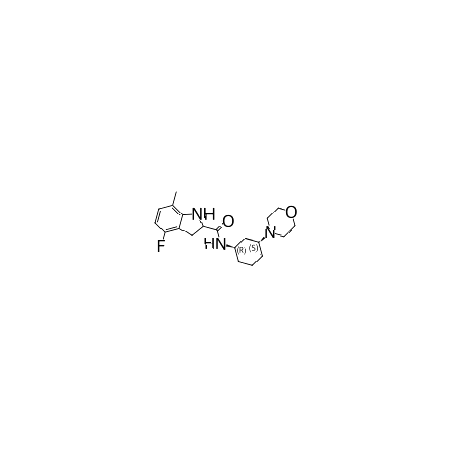 Cc1ccc(F)c2c1NC(C(=O)N[C@@H]1CCC[C@H](N3CCOCC3)C1)C2